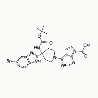 CC(C)(C)OC(=O)NC1(c2nc3cc(Br)ccc3[nH]2)CCN(c2ncnc3c2ccn3C(=O)O)CC1